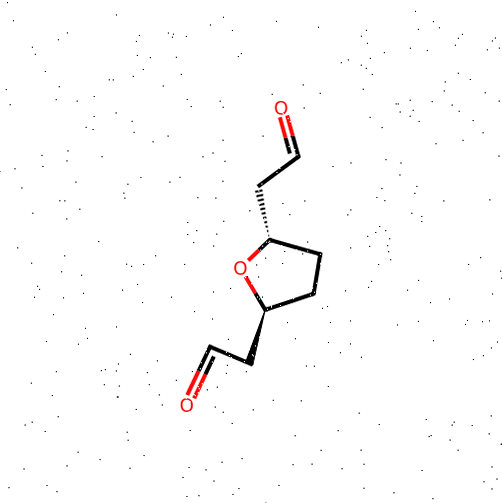 O=CC[C@@H]1CC[C@@H](CC=O)O1